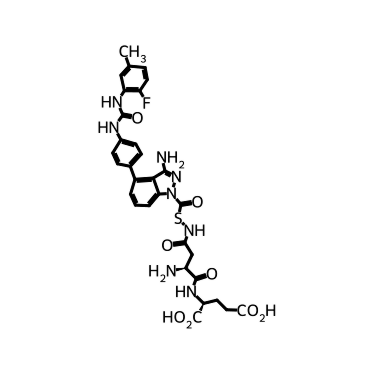 Cc1ccc(F)c(NC(=O)Nc2ccc(-c3cccc4c3c(N)nn4C(=O)SNC(=O)C[C@H](N)C(=O)N[C@@H](CCC(=O)O)C(=O)O)cc2)c1